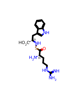 N=C(N)NCCC[C@H](N)C(=O)SN[C@@H](Cc1c[nH]c2ccccc12)C(=O)O